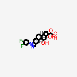 C[C@]12Cc3cnn(-c4ccc(F)c(F)c4)c3C=C1CC[C@@H]1[C@@H]2[C@@H](O)C[C@@]2(C)[C@H]1CC[C@]2(O)C(=O)CO